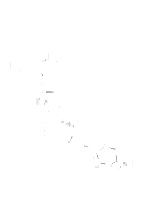 CC(OCC(=O)N[C@H]1C[C@@H](NC(=O)COc2ccc(Cl)cc2)C2CC21)C(F)(F)F